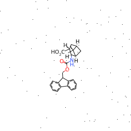 CC1(C)[C@H]2C[C@@H](C(=O)O)[C@H](NC(=O)OCC3c4ccccc4-c4ccccc43)[C@@H]1C2